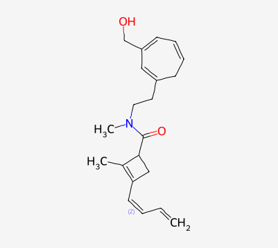 C=C/C=C\C1=C(C)C(C(=O)N(C)CCC2=CC(CO)=CC=CC2)C1